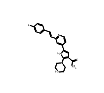 NC(=O)c1cc(-c2ccnc(C=Cc3ccc(F)cc3)c2)[nH]c1N1CCNCC1